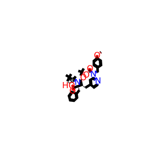 COc1ccc(CN(C(=O)OC(C)(C)C)c2cc(C[C@H]3C(=O)N([Si](C)(C)C(C)(C)C)[C@]3(Cc3ccccc3)C(=O)O)ccn2)cc1